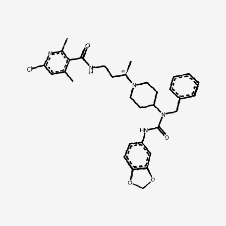 Cc1cc(Cl)nc(C)c1C(=O)NCC[C@@H](C)N1CCC(N(Cc2ccccc2)C(=O)Nc2ccc3c(c2)OCO3)CC1